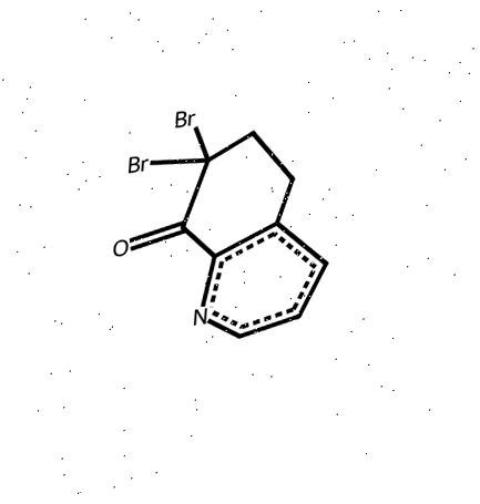 O=C1c2ncccc2CCC1(Br)Br